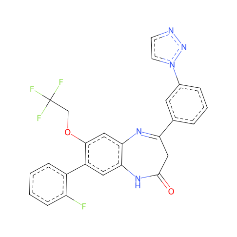 O=C1CC(c2cccc(-n3ccnn3)c2)=Nc2cc(OCC(F)(F)F)c(-c3ccccc3F)cc2N1